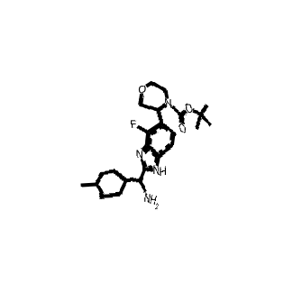 CC1CCC(C(N)c2nc3c(F)c(C4COCCN4C(=O)OC(C)(C)C)ccc3[nH]2)CC1